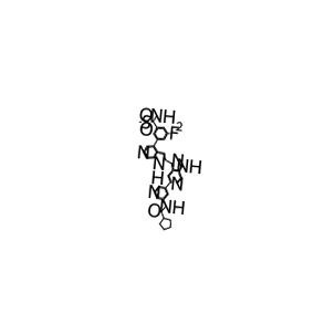 CS(=O)(=O)C(N)c1cc(F)cc(-c2cncc3[nH]c(-c4n[nH]c5cnc(-c6cncc(NC(=O)C7CCCC7)c6)cc45)cc23)c1